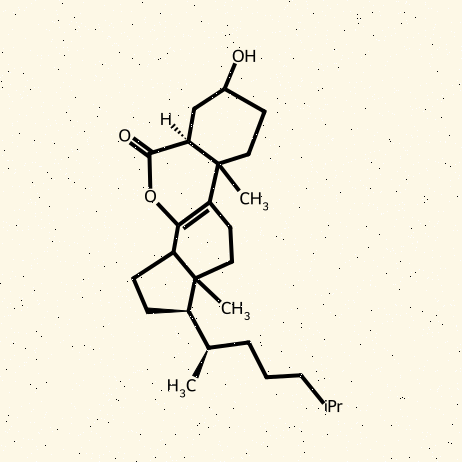 CC(C)CCC[C@@H](C)[C@H]1CCC2C3=C(CCC21C)C1(C)CCC(O)C[C@@H]1C(=O)O3